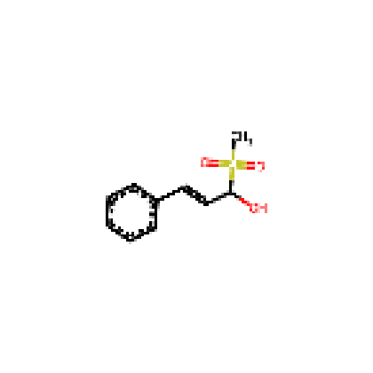 CS(=O)(=O)C(O)C=Cc1ccccc1